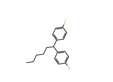 CCCCCC(c1ccc(F)cc1)c1ccc(F)cc1